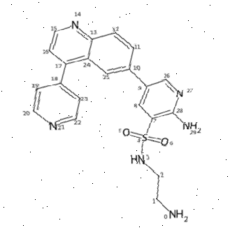 NCCNS(=O)(=O)c1cc(-c2ccc3nccc(-c4ccncc4)c3c2)cnc1N